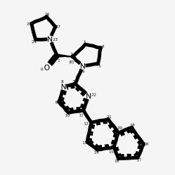 O=C([C@H]1CCCN1c1nccc(-c2ccc3ccccc3c2)n1)N1CCCC1